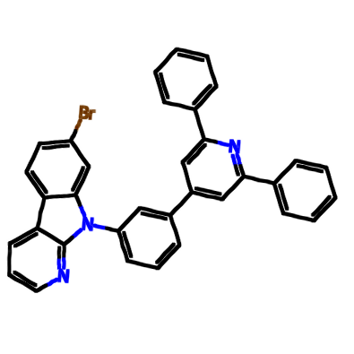 Brc1ccc2c3cccnc3n(-c3cccc(-c4cc(-c5ccccc5)nc(-c5ccccc5)c4)c3)c2c1